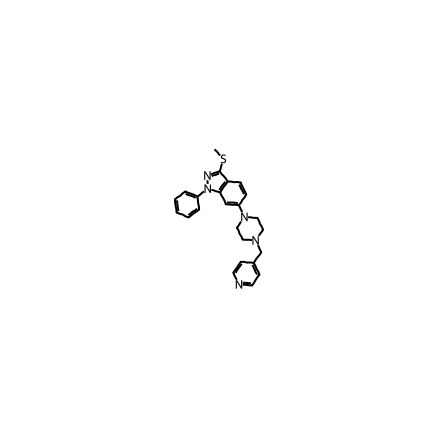 CSc1nn(-c2ccccc2)c2cc(N3CCN(Cc4ccncc4)CC3)ccc12